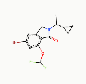 CC(C1CC1)N1Cc2cc(Br)cc(OC(F)F)c2C1=O